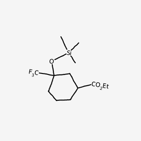 CCOC(=O)C1CCCC(O[Si](C)(C)C)(C(F)(F)F)C1